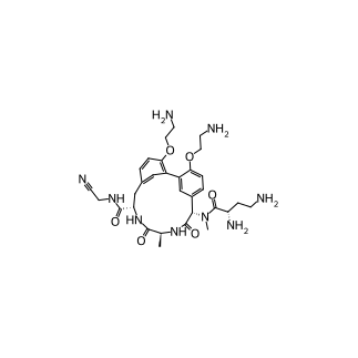 C[C@@H]1NC(=O)[C@@H](N(C)C(=O)[C@@H](N)CCN)c2ccc(OCCN)c(c2)-c2cc(ccc2OCCN)C[C@@H](C(=O)NCC#N)NC1=O